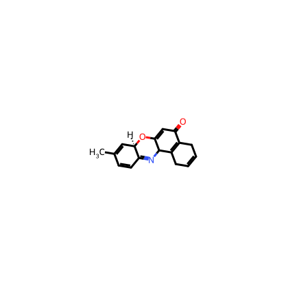 CC1=C[C@H]2OC3=CC(=O)C4=C(CC=CC4)C3N=C2C=C1